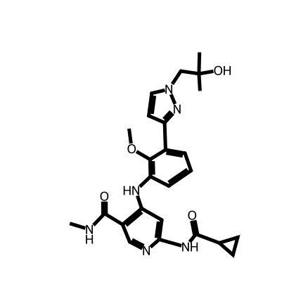 CNC(=O)c1cnc(NC(=O)C2CC2)cc1Nc1cccc(-c2ccn(CC(C)(C)O)n2)c1OC